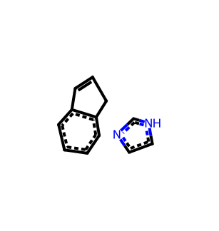 C1=Cc2ccccc2C1.c1c[nH]cn1